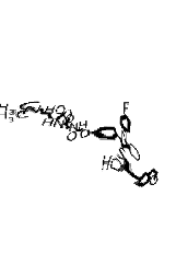 CN(C)CCCC[C@H](NC(=O)CNC(=O)COc1ccc([C@@H]2[C@@H](SC[C@H](O)c3ccc4c(c3)CCO4)C(=O)N2c2ccc(F)cc2)cc1)C(=O)O